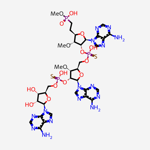 CO[C@H]1[C@@H](O[P@](O)(=S)OC[C@H]2O[C@@H](n3cnc4c(N)ncnc43)[C@H](O[P@](O)(=S)OC[C@H]3O[C@@H](n4cnc5c(N)ncnc54)[C@H](O)[C@@H]3O)[C@@H]2OC)[C@H](n2cnc3c(N)ncnc32)O[C@@H]1CCP(=O)(O)OC